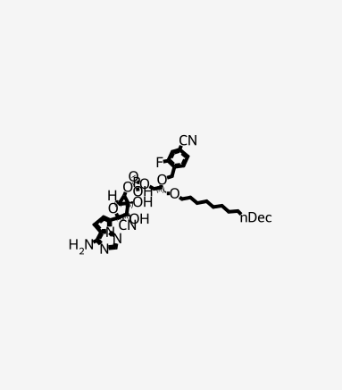 CCCCCCCCCCCCCCCCCCOC[C@H](COP(=O)(O)OC1[C@H]2O[C@@](C#N)(c3ccc4c(N)ncnn34)[C@H](O)[C@@]12O)OCc1ccc(C#N)cc1F